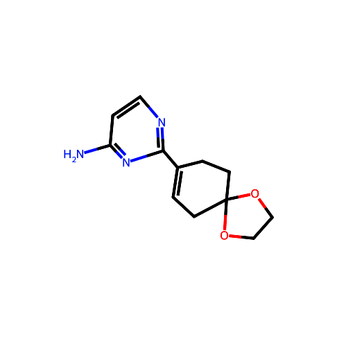 Nc1ccnc(C2=CCC3(CC2)OCCO3)n1